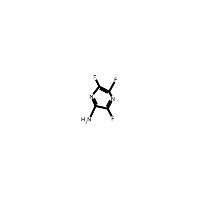 Nc1nc(F)c(F)nc1F